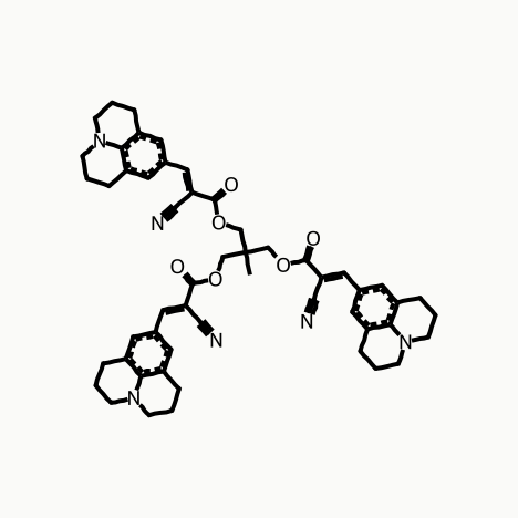 CC(COC(=O)/C(C#N)=C/c1cc2c3c(c1)CCCN3CCC2)(COC(=O)/C(C#N)=C/c1cc2c3c(c1)CCCN3CCC2)COC(=O)/C(C#N)=C/c1cc2c3c(c1)CCCN3CCC2